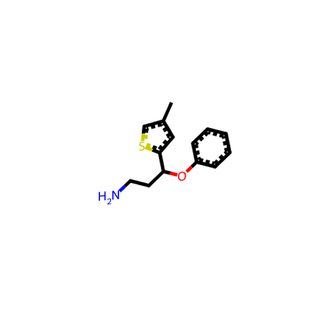 Cc1csc(C(CCN)Oc2ccccc2)c1